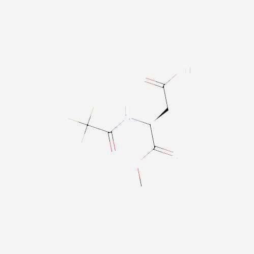 COC(=O)[C@H](CC(=O)O)NC(=O)C(F)(F)F